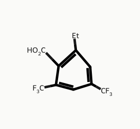 CCc1cc(C(F)(F)F)cc(C(F)(F)F)c1C(=O)O